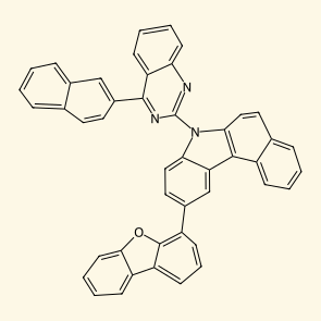 c1ccc2cc(-c3nc(-n4c5ccc(-c6cccc7c6oc6ccccc67)cc5c5c6ccccc6ccc54)nc4ccccc34)ccc2c1